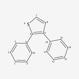 [c]1cccc(-c2sccc2-c2ccccc2)c1